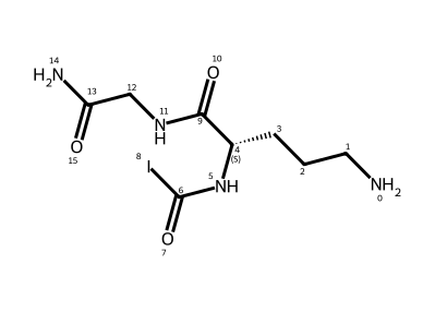 NCCC[C@H](NC(=O)I)C(=O)NCC(N)=O